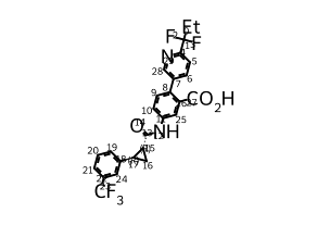 CCC(F)(F)c1ccc(-c2ccc(NC(=O)[C@@H]3C[C@H]3c3cccc(C(F)(F)F)c3)cc2C(=O)O)cn1